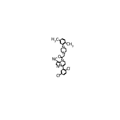 Cc1ccc(C)c(N2CCN(CC(=O)N3CC=C(c4cc(Cl)ccc4Cl)n4ncc(C#N)c43)CC2)c1